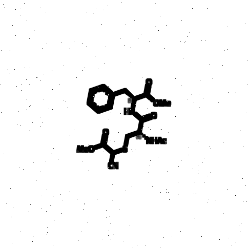 COC(=O)C(C#N)SC[C@@H](NC(C)=O)C(=O)N[C@@H](Cc1ccccc1)C(=O)OC